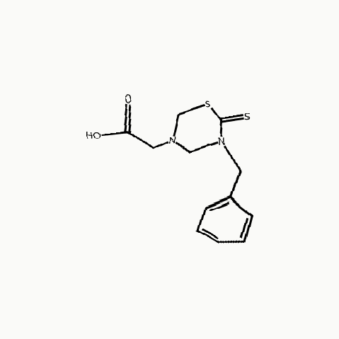 O=C(O)CN1CSC(=S)N(Cc2ccccc2)C1